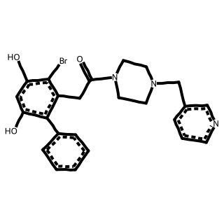 O=C(Cc1c(Br)c(O)cc(O)c1-c1ccccc1)N1CCN(Cc2cccnc2)CC1